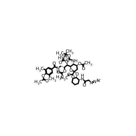 COC(=O)[C@@]1(O[C@H]2CCCC[C@H]2NC(=O)CN=[N+]=[N-])C[C@H](OC(C)=O)[C@@H](NC(=O)OC(C)(C)C)[C@H]([C@H](OC(C)=O)[C@@H](CNC(=O)c2cc(C)c(OC(C)=O)c(C)c2)OC(C)=O)O1